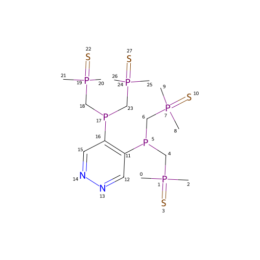 CP(C)(=S)CP(CP(C)(C)=S)c1cnncc1P(CP(C)(C)=S)CP(C)(C)=S